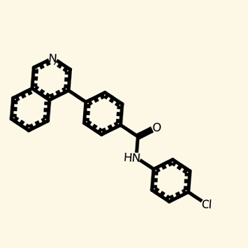 O=C(Nc1ccc(Cl)cc1)c1ccc(-c2cncc3ccccc23)cc1